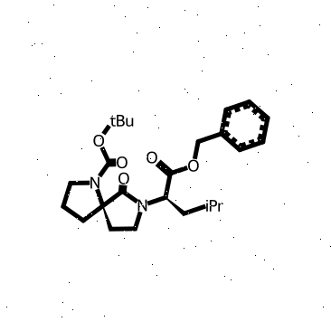 CC(C)C[C@H](C(=O)OCc1ccccc1)N1CC[C@]2(CCCN2C(=O)OC(C)(C)C)C1=O